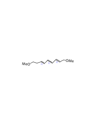 COC/C=C/C=C/C=C/CCOC